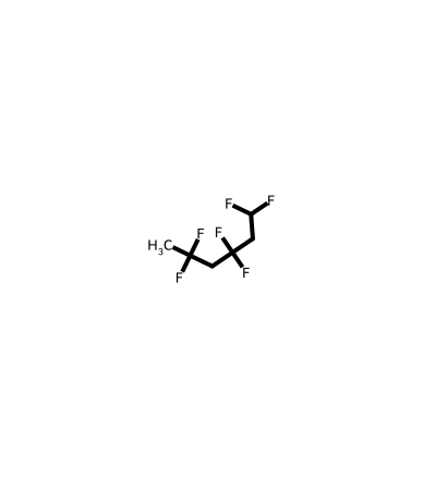 CC(F)(F)CC(F)(F)CC(F)F